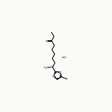 CCC(=O)CCCCC[C@H](N)c1ncc(Br)o1.Cl